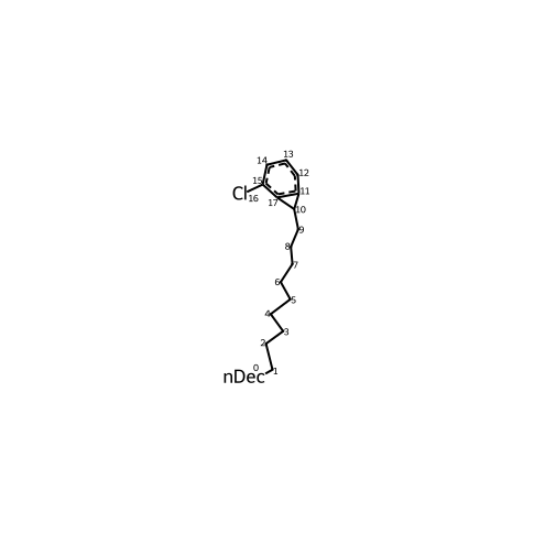 CCCCCCCCCCCCCCCCCCCC1c2cccc(Cl)c21